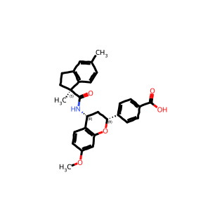 COc1ccc2c(c1)O[C@@H](c1ccc(C(=O)O)cc1)C[C@H]2NC(=O)[C@@]1(C)CCc2cc(C)ccc21